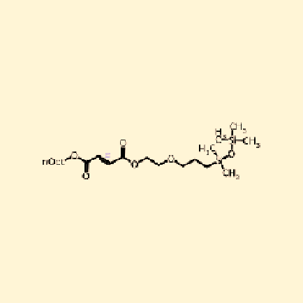 CCCCCCCCOC(=O)/C=C/C(=O)OCCOCCC[Si](C)(C)O[Si](C)(C)C